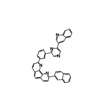 c1cc(-c2cncc(-c3cnc4ccccc4c3)n2)cc(-c2ccc3ccc4ccc(-c5ccc6ccccc6c5)nc4c3n2)c1